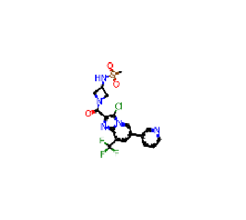 CS(=O)(=O)NC1CN(C(=O)c2nc3c(C(F)(F)F)cc(-c4cccnc4)cn3c2Cl)C1